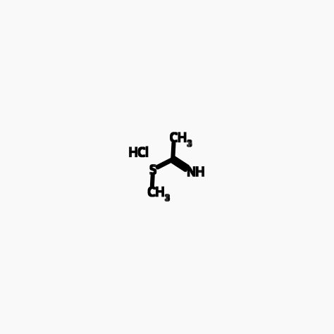 CSC(C)=N.Cl